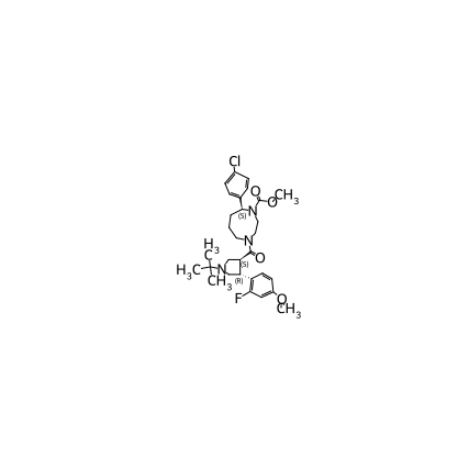 COC(=O)N1CCN(C(=O)[C@@H]2CN(C(C)(C)C)C[C@H]2c2ccc(OC)cc2F)CCC[C@H]1c1ccc(Cl)cc1